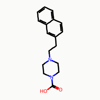 O=C(O)N1CCN(CCc2ccc3ccccc3c2)CC1